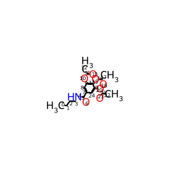 CCCCNC(=O)c1cc(OC(C)=O)c(OC(C)=O)c(OC(C)=O)c1